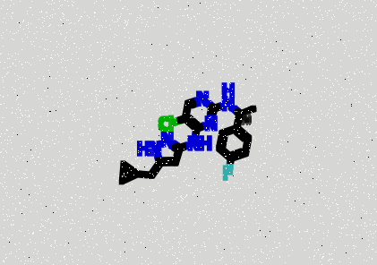 C[C@H](Nc1ncc(Cl)c(Nc2cc(CC3CC3)[nH]n2)n1)c1ccc(F)cc1